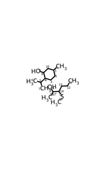 CC1CCC(C(C)C)C(O)C1.CCCC(SC)C(C)O